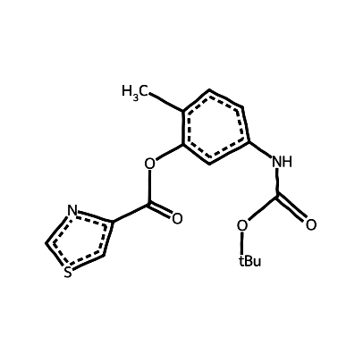 Cc1ccc(NC(=O)OC(C)(C)C)cc1OC(=O)c1cscn1